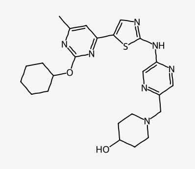 Cc1cc(-c2cnc(Nc3cnc(CN4CCC(O)CC4)cn3)s2)nc(OC2CCCCC2)n1